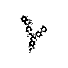 O=C(NC(Cc1ccc2[nH]c(=O)oc2c1)C(=O)N1CCC(N2CCCCC2)CC1)N1CCC(N2Cc3ccccc3NC2=O)CC1